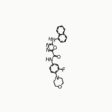 O=C(Nc1ccc(N2CCOCC2)c(F)c1)c1nnc(Nc2cccc3ccccc23)o1